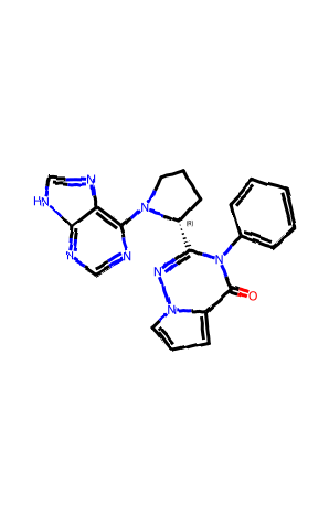 O=c1c2cccn2nc([C@H]2CCCN2c2ncnc3[nH]cnc23)n1-c1ccccc1